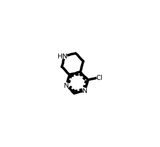 Clc1ncnc2c1CCNC2